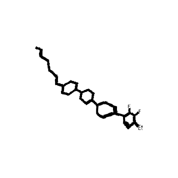 C/C=C/CCCCC1CCC(C2CCC(C3CC=C(c4ccc(CC)c(F)c4F)CC3)CC2)CC1